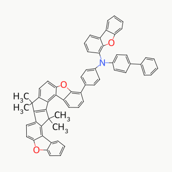 CC1(C)C2=C(c3c1ccc1oc4c(-c5ccc(N(c6ccc(-c7ccccc7)cc6)c6cccc7c6oc6ccccc67)cc5)cccc4c31)C(C)(C)c1c2ccc2oc3ccccc3c12